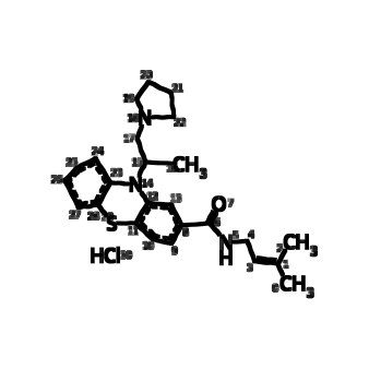 CC(C)=CCNC(=O)c1ccc2c(c1)N(C(C)CN1CCCC1)c1ccccc1S2.Cl